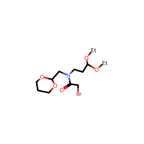 CCOC(CCN(CC1OCCCO1)C(=O)CBr)OCC